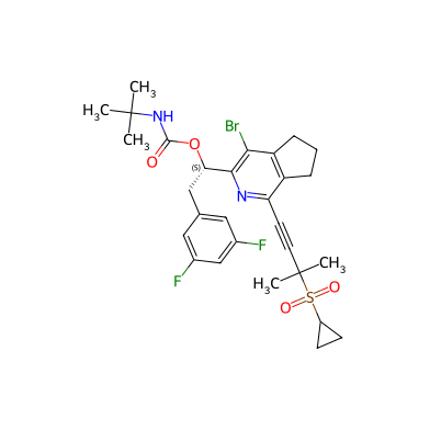 CC(C)(C)NC(=O)O[C@@H](Cc1cc(F)cc(F)c1)c1nc(C#CC(C)(C)S(=O)(=O)C2CC2)c2c(c1Br)CCC2